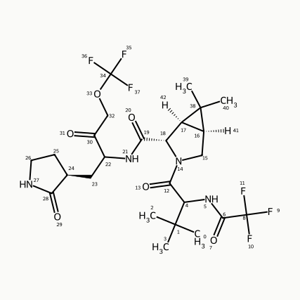 CC(C)(C)C(NC(=O)C(F)(F)F)C(=O)N1C[C@H]2[C@@H]([C@H]1C(=O)NC(C[C@@H]1CCNC1=O)C(=O)COC(F)(F)F)C2(C)C